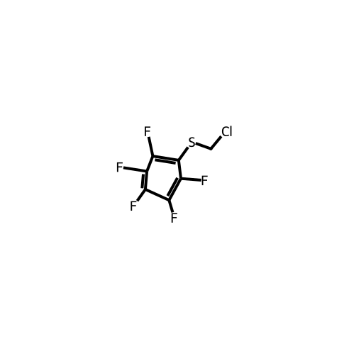 Fc1c(F)c(F)c(SCCl)c(F)c1F